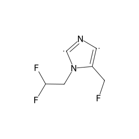 FCc1[c]n[c]n1CC(F)F